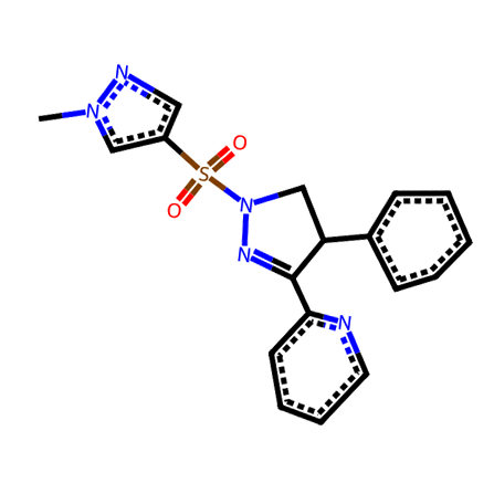 Cn1cc(S(=O)(=O)N2CC(c3ccccc3)C(c3ccccn3)=N2)cn1